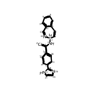 O=C(N[SH]1C=Cc2ccccc2C=N1)c1ccc(-c2ncc[nH]2)cc1